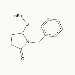 CCCCOC1CCC(=O)N1Cc1ccccc1